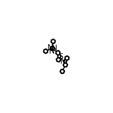 c1ccc(-c2ccc3c4ccccc4n(-c4cccc5c4sc4ccc(-c6nc(-c7ccccc7)nc(-c7ccccc7)n6)cc45)c3c2)cc1